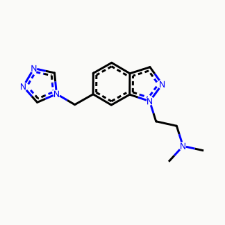 CN(C)CCn1ncc2ccc(Cn3cnnc3)cc21